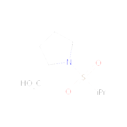 CC(C)S(=O)(=O)N1CCC[C@H]1C(=O)O